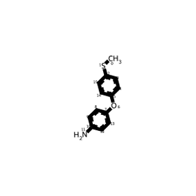 CSc1ccc(Oc2ccc(N)cc2)cc1